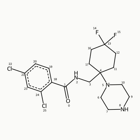 O=C(NCC1(N2CCNCC2)CCC(F)(F)CC1)c1ccc(Cl)cc1Cl